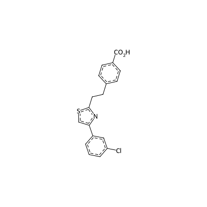 O=C(O)c1ccc(CCc2nc(-c3cccc(Cl)c3)cs2)cc1